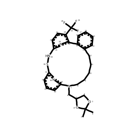 CC1(C)OCC(CN2CCCCCc3ccccc3-c3nc(ccc3C(F)(F)F)NSc3cccc2n3)O1